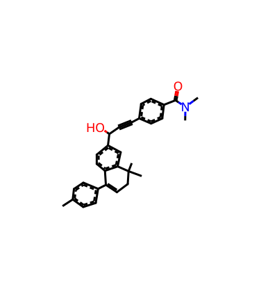 Cc1ccc(C2=CCC(C)(C)c3cc(C(O)C#Cc4ccc(C(=O)N(C)C)cc4)ccc32)cc1